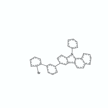 Brc1ccccc1-c1cccc(-c2ccc3c(c2)c2ccc4ccccc4c2n3-c2ccccc2)c1